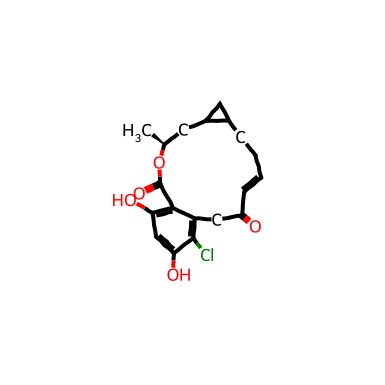 C[C@H]1CC2CC2CC/C=C/C(=O)Cc2c(Cl)c(O)cc(O)c2C(=O)O1